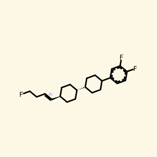 FCC/C=C/[C@H]1CC[C@H](C2CCC(c3ccc(F)c(F)c3)CC2)CC1